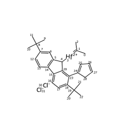 C[C](C)=[Hf+2][CH]1c2cc(C(C)(C)C)ccc2-c2ccc(C(C)(C)C)c(C3=CC=CC3)c21.[Cl-].[Cl-]